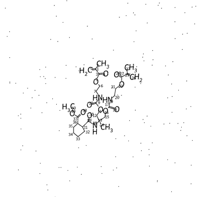 C=C(C)C(=O)OCCNC(=O)OCC(C)(COC(=O)NCCOC(=O)C(=C)C)NC(=O)C1CCCCC1C(=O)OC